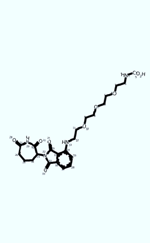 O=C(O)NCCOCCOCCOCCNc1cccc2c1C(=O)N(C1CCCC(=O)NC1=O)C2=O